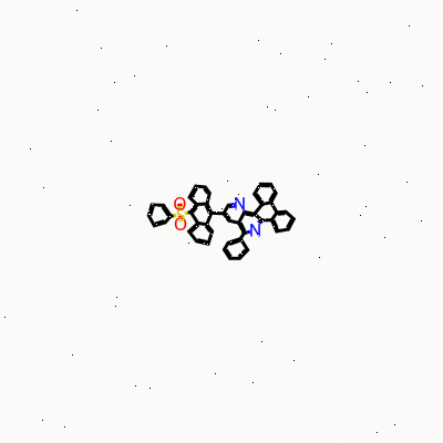 O=S(=O)(c1ccccc1)c1c2ccccc2c(-c2cnc3c(c2)c(-c2ccccc2)nc2c4ccccc4c4ccccc4c32)c2ccccc12